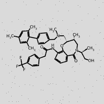 Cc1cc(C)c(-c2ccc(CN(C)C[C@H]3Oc4c(NC(=O)Cc5ccc(C(F)(F)F)cc5)cccc4C(=O)N([C@@H](C)CO)C[C@H]3C)cc2)c(C)c1